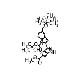 COC(=O)c1cc2[nH]nc(-c3cc4cc(CO[Si](C)(C)C(C)(C)C)ccc4n3C(=O)OC(C)(C)C)c2s1